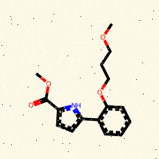 COCCCOc1ccccc1-c1ccc(C(=O)OC)[nH]1